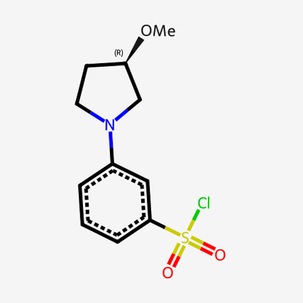 CO[C@@H]1CCN(c2cccc(S(=O)(=O)Cl)c2)C1